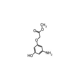 COC(=O)COc1cc(N)cc(O)c1